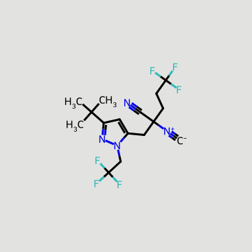 [C-]#[N+]C(C#N)(CCC(F)(F)F)Cc1cc(C(C)(C)C)nn1CC(F)(F)F